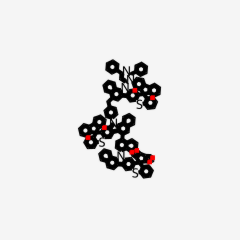 c1ccc(-c2cc(-n3c4cc5c(cc4c4cc(Cc6ccc(-n7c8cc9c(cc8c8c(-c%10ccc(-n%11c%12cc%13c(cc%12c%12ccc%14ccccc%14c%12%11)Sc%11ccccc%11C%13%11c%12ccccc%12-c%12ccccc%12%11)c%11ccccc%10%11)cc%10ccccc%10c87)Sc7ccccc7C97c8ccccc8-c8ccccc87)cc6)c6ccccc6c43)Sc3ccccc3C53c4ccccc4-c4ccccc43)nc(-c3ccccc3)n2)cc1